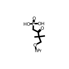 CCCOCC(C)(C)C(=O)CP(=O)(O)O